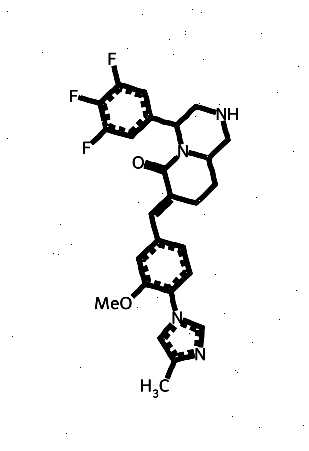 COc1cc(/C=C2\CCC3CNCC(c4cc(F)c(F)c(F)c4)N3C2=O)ccc1-n1cnc(C)c1